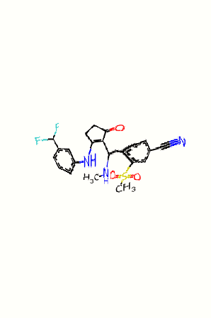 CNC(C1=C(Nc2cccc(C(F)F)c2)CCC1=O)c1ccc(C#N)cc1S(C)(=O)=O